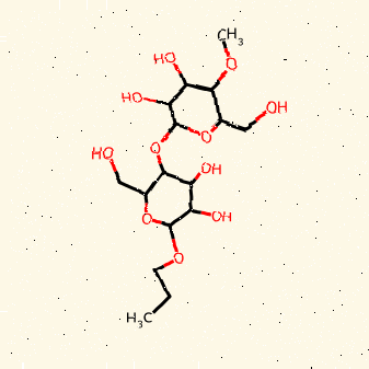 CCCOC1OC(CO)C(OC2OC(CO)C(OC)C(O)C2O)C(O)C1O